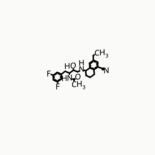 CCc1cc(C#N)c2c(c1)C(NCC(O)C(Cc1cc(F)cc(F)c1)NC(C)=O)CCC2